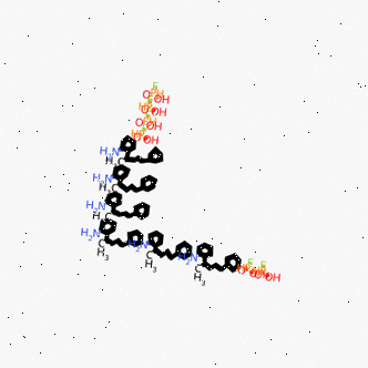 C/C(=C/C=C/c1ccccc1)c1ccccc1N.C/C(=C/C=C/c1ccccc1)c1ccccc1N.C/C(=C/C=C/c1ccccc1)c1ccccc1N.C/C(=C/C=C/c1ccccc1)c1ccccc1N.C/C(=C/C=C/c1ccccc1)c1ccccc1N.C/C(=C/C=C/c1ccccc1)c1ccccc1N.O=[PH](O)F.O=[PH](O)F.O=[PH](O)F.O=[PH](O)F.O=[PH](O)F.O=[PH](O)F